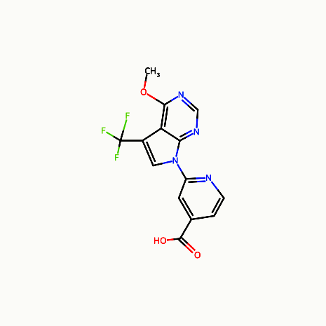 COc1ncnc2c1c(C(F)(F)F)cn2-c1cc(C(=O)O)ccn1